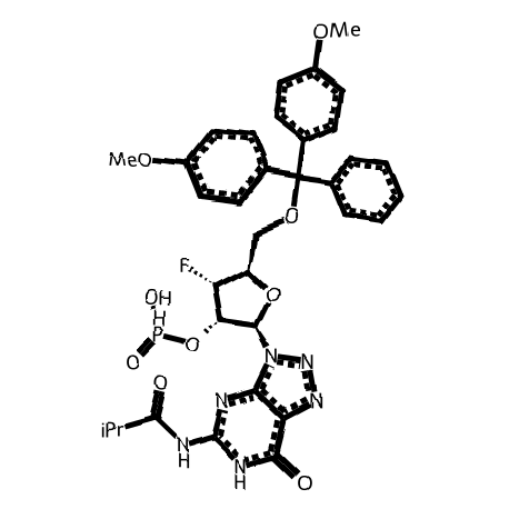 COc1ccc(C(OC[C@H]2O[C@@H](n3nnc4c(=O)[nH]c(NC(=O)C(C)C)nc43)[C@H](O[PH](=O)O)[C@@H]2F)(c2ccccc2)c2ccc(OC)cc2)cc1